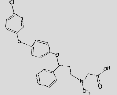 CN(CCC(Oc1ccc(Oc2ccc(Cl)cc2)cc1)c1ccccc1)CC(=O)O